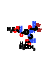 COC(=O)CNC(=O)c1ccc(NC(=O)c2cc(Br)c(Br)[nH]2)c(N2CC[C@H](NC(=O)OC(C)(C)C)C2)c1